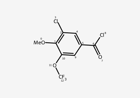 COc1c(Cl)cc(C(=O)Cl)cc1OC(F)(F)F